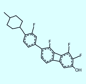 CC1CCC(c2ccc(-c3ccc4c(c3F)-c3c-4cc(O)c(F)c3F)cc2F)CC1